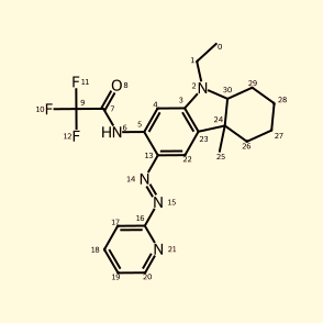 CCN1c2cc(NC(=O)C(F)(F)F)c(N=Nc3ccccn3)cc2C2(C)CCCCC12